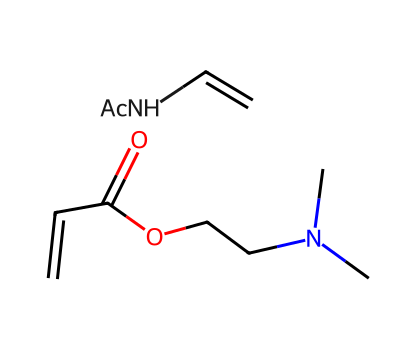 C=CC(=O)OCCN(C)C.C=CNC(C)=O